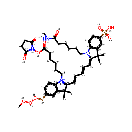 CNC(=O)CCCCCN1C(=CC=CC=CC2=[N+](CCCCCC(=O)ON3C(=O)CCC3=O)c3ccc(SOOOC)cc3C2(C)C)C(C)(C)c2cc(S(=O)(=O)O)ccc21